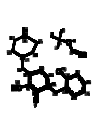 CC(C)(C)OC=O.O=c1c(O)c(CN2CCNCC2)ccn1Cc1ccccc1Cl